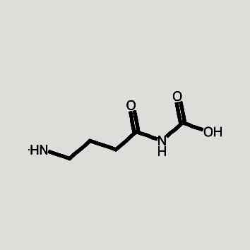 [NH]CCCC(=O)NC(=O)O